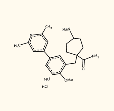 CNC1CCC(Cc2cc(-c3cc(C)nc(C)c3)ccc2OC)(C(N)=O)CC1.Cl.Cl